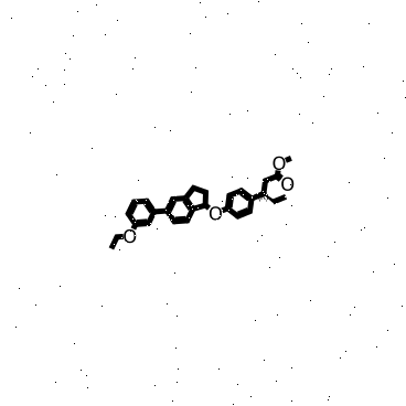 CCOc1cccc(-c2ccc3c(c2)CCC3Oc2ccc([C@H](CC)CC(=O)OC)cc2)c1